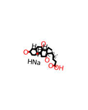 C[C@H](CCC(=O)O)[C@H]1CC[C@H]2[C@@H]3C(=O)C[C@@H]4CC(=O)CC[C@]4(C)[C@H]3CC(=O)[C@]12C.[NaH]